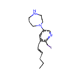 CCC/C=C/c1cc(N2CCCNCC2)cnc1I